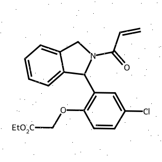 C=CC(=O)N1Cc2ccccc2C1c1cc(Cl)ccc1OCC(=O)OCC